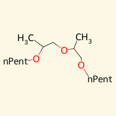 CCCCCOCC(C)OCC(C)OCCCCC